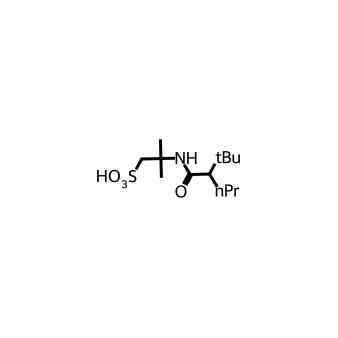 CCCC(C(=O)NC(C)(C)CS(=O)(=O)O)C(C)(C)C